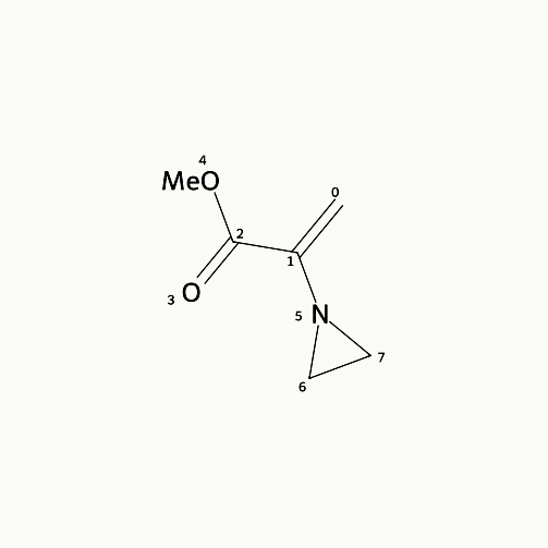 C=C(C(=O)OC)N1CC1